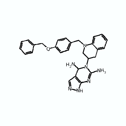 NC1=Nc2[nH]ncc2C(N)N1C1Cc2ccccc2N(Cc2ccc(OCc3ccccc3)cc2)C1